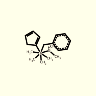 C[SiH](C)[Ti]([CH3])([CH3])([CH3])([CH3])([CH2]c1ccccc1)[C]1=CC=CC1